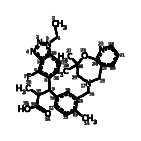 CCn1nnc2c(F)c(C(c3ccc(C)c(CN4Cc5cccnc5OC(C)(C)C4)c3)C(C)C(=O)O)ccc21